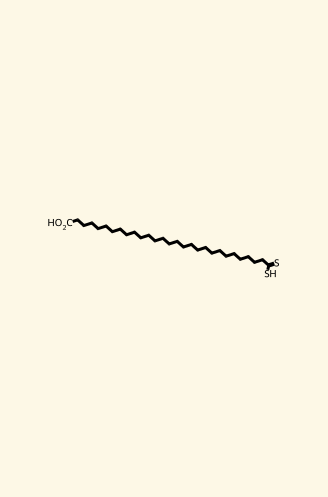 O=C(O)CCCCCCCCCCCCCCCCCCCCCCCCCCCC(=S)S